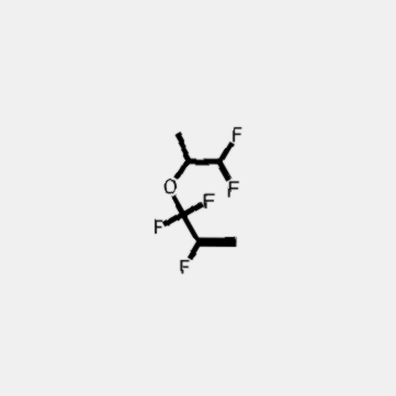 C=C(F)C(F)(F)OC(C)C(F)F